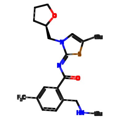 CC(C)(C)NCc1ccc(C(F)(F)F)cc1C(=O)/N=c1\sc(C(C)(C)C)cn1C[C@H]1CCCO1